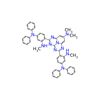 CNc1cc(N(c2ccccc2)c2ccccc2)ccc1C1=NC2=CC(N(C)C)=CC3=NC(c4ccc(N(c5ccccc5)c5ccccc5)cc4NC)=NC(=N1)N23